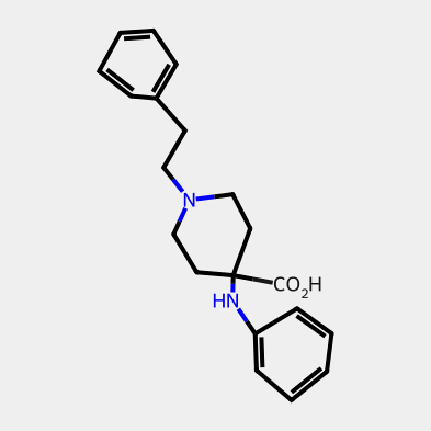 O=C(O)C1(Nc2ccccc2)CCN(CCc2ccccc2)CC1